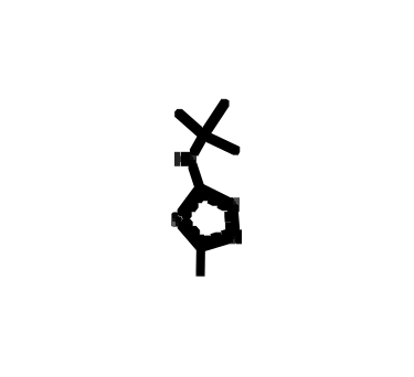 Cc1nnc(NC(C)(C)C)s1